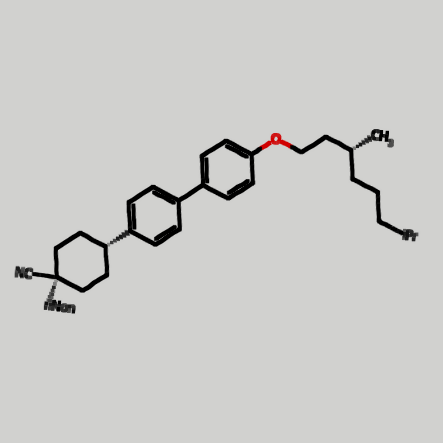 CCCCCCCCC[C@]1(C#N)CC[C@H](c2ccc(-c3ccc(OCC[C@H](C)CCCC(C)C)cc3)cc2)CC1